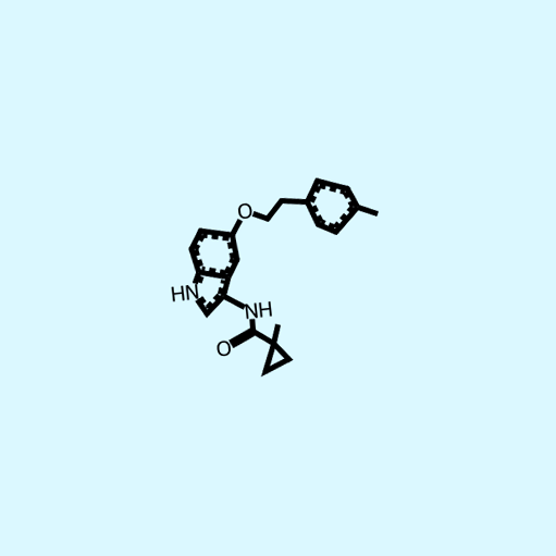 Cc1ccc(CCOc2ccc3[nH]cc(NC(=O)C4(C)CC4)c3c2)cc1